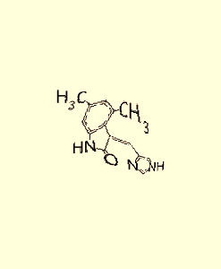 Cc1cc(C)c2c(c1)NC(=O)C2=Cc1c[nH]cn1